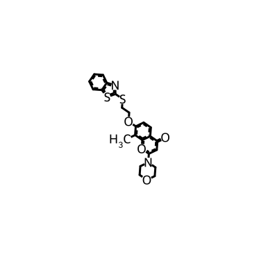 Cc1c(OCCSc2nc3ccccc3s2)ccc2c(=O)cc(N3CCOCC3)oc12